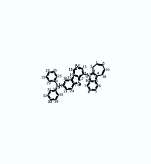 C1=CCc2c(c3ccccc3n2-c2cncc3c2sc2ccc(N(c4ccccc4)c4ccccc4)cc23)C=C1